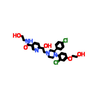 O=C(NCCO)c1ccc([C@H](O)CN2CCN(c3ccc(OCCO)cc3Cl)[C@H](c3ccc(Cl)cc3)C2)nc1